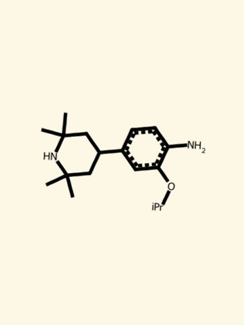 CC(C)Oc1cc(C2CC(C)(C)NC(C)(C)C2)ccc1N